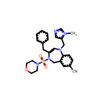 Cn1cncc1CN1C=C(Cc2ccccc2)N(S(=O)(=O)N2CCOCC2)Cc2cc(C#N)ccc21